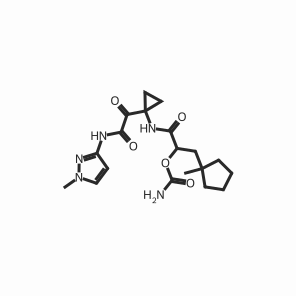 Cn1ccc(NC(=O)C(=O)C2(NC(=O)C(CC3(C)CCCC3)OC(N)=O)CC2)n1